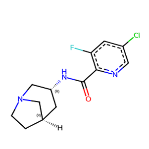 O=C(N[C@@H]1C[C@H]2CCN(C2)C1)c1ncc(Cl)cc1F